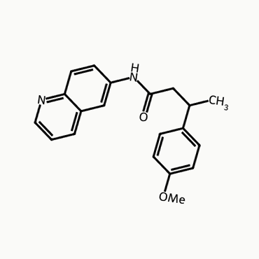 COc1ccc(C(C)CC(=O)Nc2ccc3ncccc3c2)cc1